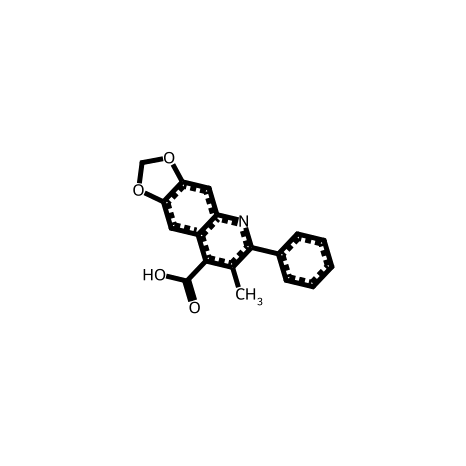 Cc1c(-c2ccccc2)nc2cc3c(cc2c1C(=O)O)OCO3